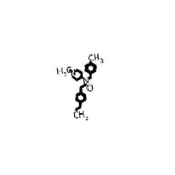 CCCc1ccc(CC(=O)N(Cc2ccc(C)cc2)C2CCN(C)CC2)cc1